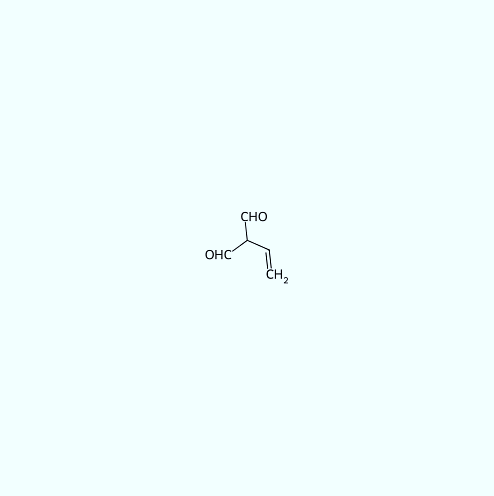 C=CC(C=O)C=O